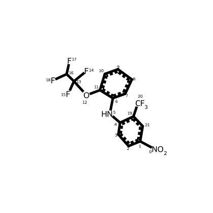 O=[N+]([O-])c1ccc(Nc2ccccc2OC(F)(F)C(F)F)c(C(F)(F)F)c1